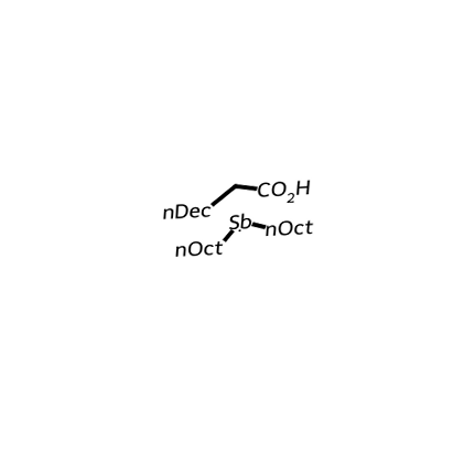 CCCCCCCCCCCC(=O)O.CCCCCCC[CH2][Sb][CH2]CCCCCCC